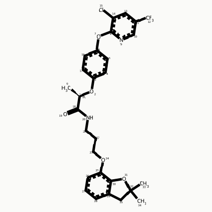 C[C@@H](Oc1ccc(Oc2ncc(C(F)(F)F)cc2Cl)cc1)C(=O)NCCCOc1cccc2c1OC(C)(C)C2